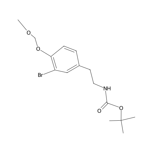 COCOc1ccc(CCNC(=O)OC(C)(C)C)cc1Br